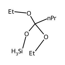 CCCC(O[SiH3])(OCC)OCC